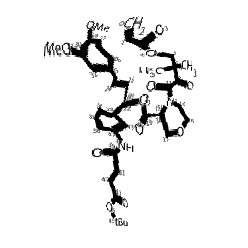 C=CC(=O)OCC(C)(C)C(=O)C(=O)N1CCOC[C@H]1C(=O)O[C@H](CCc1ccc(OC)c(OC)c1)c1cccc(NC(=O)CCC(=O)OC(C)(C)C)c1